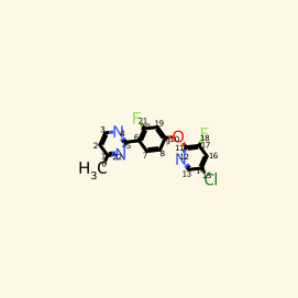 Cc1ccnc(-c2ccc(Oc3ncc(Cl)cc3F)cc2F)n1